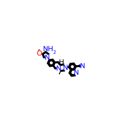 CO[C@H]1CN(c2ccc3c(c2)C[C@H]2CN(c4ccc(C#N)c5ncccc45)C[C@@H](C)N2C3)C[C@H]1N